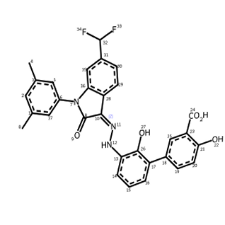 Cc1cc(C)cc(N2C(=O)/C(=N\Nc3cccc(-c4ccc(O)c(C(=O)O)c4)c3O)c3ccc(C(F)F)cc32)c1